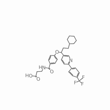 O=C(O)CCNC(=O)c1ccc(OC(CCC2CCCCC2)c2ccc(-c3ccc(C(F)(F)F)cc3)nc2)cc1